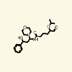 CC(C)OC(C=O)CCCC(=O)NC(CC(O)c1ccccc1)N1CCOCC1